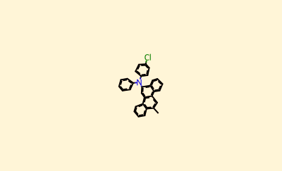 Cc1cc2c3ccccc3c(N(c3ccccc3)c3ccc(Cl)cc3)cc2c2ccccc12